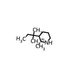 CCC(C)(C)C1CCCN[C@@H]1C